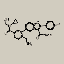 CNC(=O)c1c(-c2ccc(F)cc2)oc2ccc(-c3cc(C(=O)N(CO)C4CC4)ccc3CN)cc12